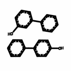 Oc1ccc(-c2ccccc2)cc1.Oc1cccc(-c2ccccc2)c1